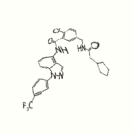 O=C(CC1CCCC1)NCc1ccc(Cl)c(C(=O)Nc2cccc3c2cnn3-c2ccc(C(F)(F)F)cc2)c1